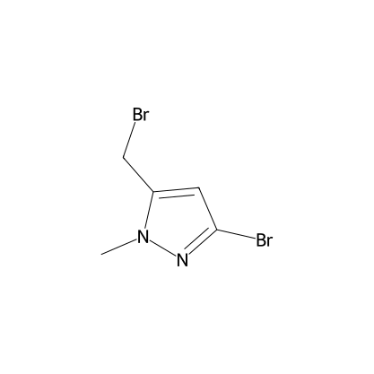 Cn1nc(Br)cc1CBr